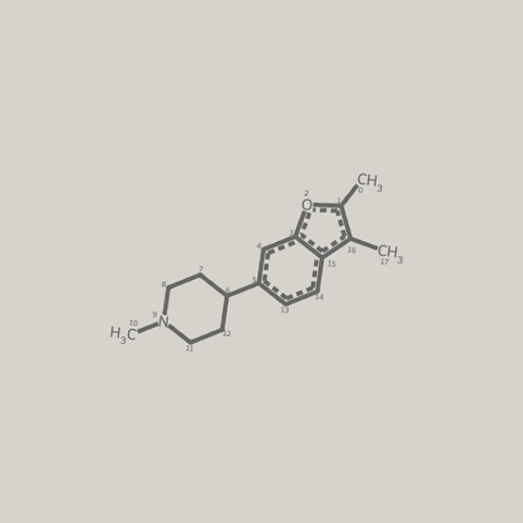 Cc1oc2cc(C3CCN(C)CC3)ccc2c1C